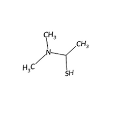 CC(S)N(C)C